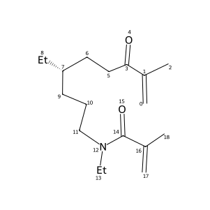 C=C(C)C(=O)CC[C@@H](CC)CCCN(CC)C(=O)C(=C)C